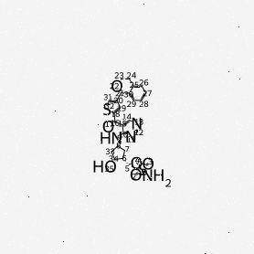 NS(=O)(=O)OC[C@H]1C[C@@H](Nc2ncncc2C(=O)c2cc(C3OCCc4ccccc43)cs2)C[C@@H]1O